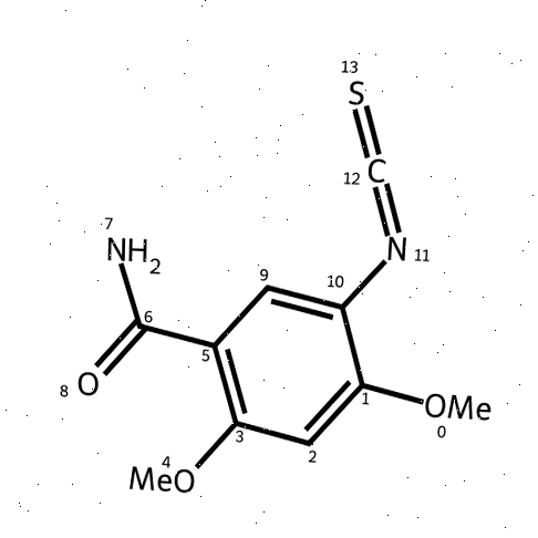 COc1cc(OC)c(C(N)=O)cc1N=C=S